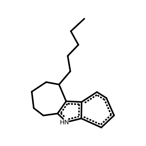 CCCCCC1CCCCc2[nH]c3ccccc3c21